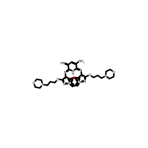 N=C1C=C(N)/C(=N/c2c(OCCCN3CCOCC3)nn3ccccc23)N/C1=N\c1c(OCCCN2CCOCC2)nn2ccccc12